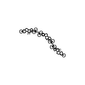 C[C@H]1C[C@@]2(C)C(CC[C@@H]2OC(=O)CCC(=O)Oc2ccc3c(c2)CCC2C3CC[C@@]3(C)C2CC[C@@H]3OC(=O)CCC(=O)O[C@H]2CCC3C4CCC5=CC(=O)CCC5C4[C@@H](C)C[C@@]32C)C2CCC3=CC(=O)CCC3C21